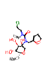 CC(C)CO[C@H]1OC[C@@](O)(N(CC2CCCO2)C(=O)N(CCCl)N=O)[C@H](O)[C@H]1O